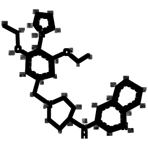 CCOc1cc(CN2CCC(Nc3cnc4ccccc4c3)CC2)cc(OCC)c1-n1cccc1